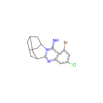 N=c1c2c(Br)cc(Cl)cc2nc2n1C1CC3CC(CC2C3)C1